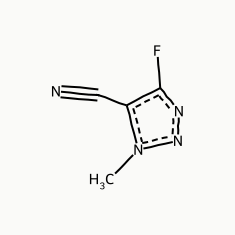 Cn1nnc(F)c1C#N